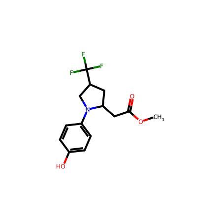 COC(=O)CC1CC(C(F)(F)F)CN1c1ccc(O)cc1